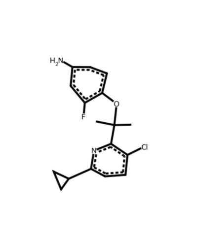 CC(C)(Oc1ccc(N)cc1F)c1nc(C2CC2)ccc1Cl